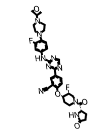 N#Cc1cc(-c2ncnc(Nc3ccc(N4CCN(C5COC5)CC4)c(F)c3)n2)ccc1O[C@H]1CCN(C(=O)[C@@H]2CCC(=O)N2)C[C@H]1F